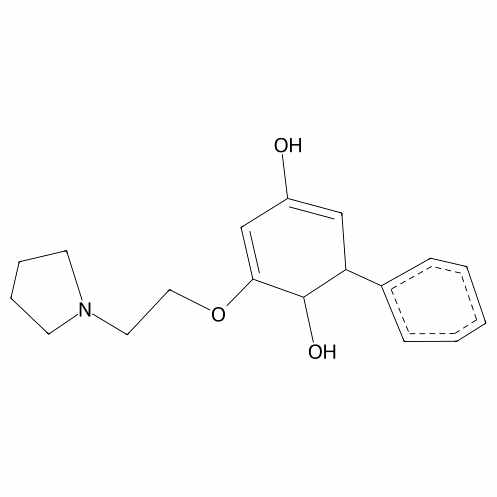 OC1=CC(c2ccccc2)C(O)C(OCCN2CCCC2)=C1